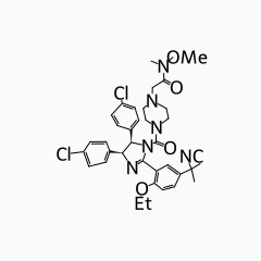 CCOc1ccc(C(C)(C)C#N)cc1C1=N[C@@H](c2ccc(Cl)cc2)[C@@H](c2ccc(Cl)cc2)N1C(=O)N1CCN(CC(=O)N(C)OC)CC1